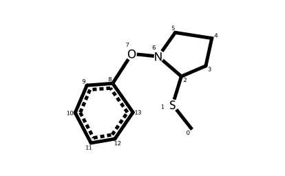 CSC1CCCN1Oc1ccccc1